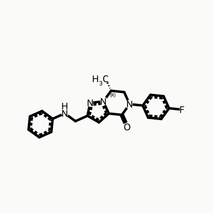 C[C@@H]1CN(c2ccc(F)cc2)C(=O)c2cc(CNc3ccccc3)nn21